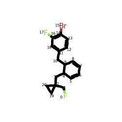 FCC1(CC2C=CC=CC2Cc2ccc(Br)c(F)c2)CC1